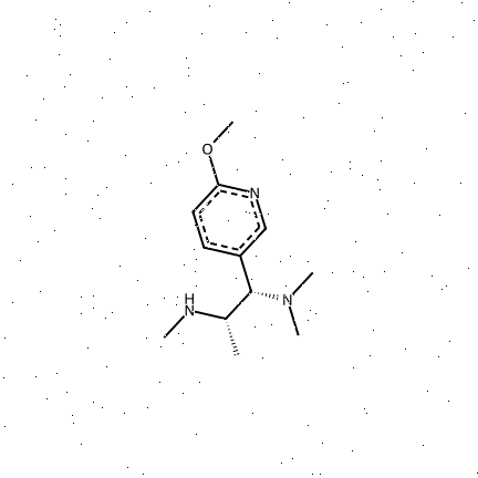 CN[C@@H](C)[C@H](c1ccc(OC)nc1)N(C)C